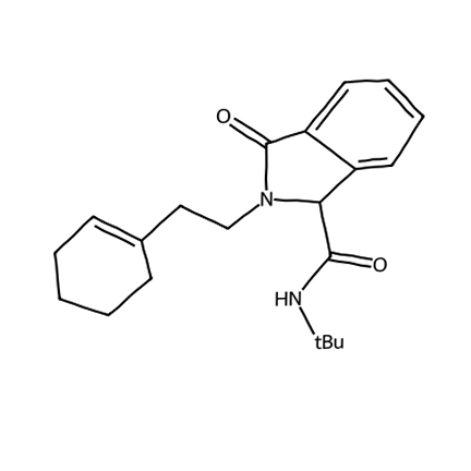 CC(C)(C)NC(=O)C1c2ccccc2C(=O)N1CCC1=CCCCC1